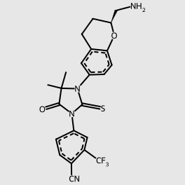 CC1(C)C(=O)N(c2ccc(C#N)c(C(F)(F)F)c2)C(=S)N1c1ccc2c(c1)CC[C@@H](CN)O2